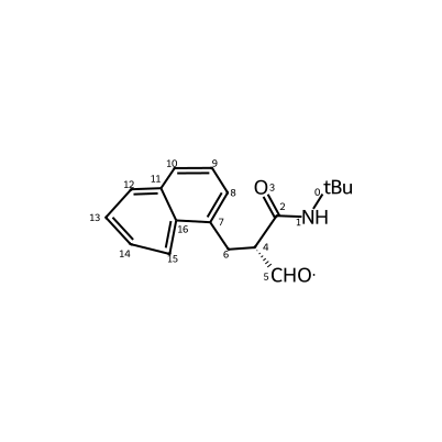 CC(C)(C)NC(=O)[C@H]([C]=O)Cc1cccc2ccccc12